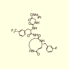 COC(=O)[C@@H](NC(=O)NC(Cc1cccc(C(F)(F)F)c1)C(=O)N[C@H]1CCCCNC(=O)/C=C/[C@H](Cc2cccc(F)c2)NC1=O)C(C)C